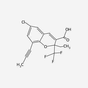 CC#Cc1cc(Cl)cc2c1OC(CC)(C(F)(F)F)C(C(=O)O)=C2